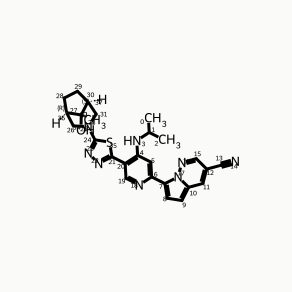 CC(C)Nc1cc(-c2ccc3cc(C#N)cnn23)ncc1-c1nnc(N2C[C@H]3CC[C@@H](C2)[C@]3(C)O)s1